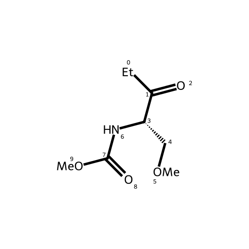 CCC(=O)[C@H](COC)NC(=O)OC